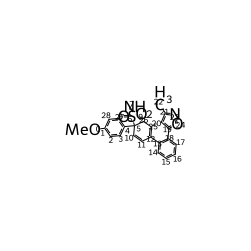 COc1ccc(C2(S(N)(=O)=O)C=CC(c3ccccc3-c3cc(C)no3)=CC2)cc1